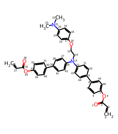 C=CC(=O)Oc1ccc(-c2ccc(N(CCOc3ccc(N(C)C)cc3)c3ccc(-c4ccc(OC(=O)C=C)cc4)cc3)cc2)cc1